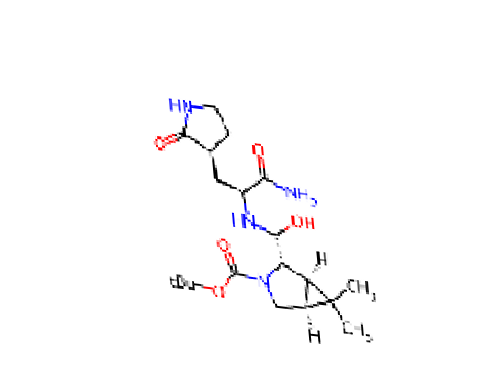 CC(C)(C)OC(=O)N1C[C@H]2[C@@H]([C@H]1C(O)N[C@@H](C[C@@H]1CCNC1=O)C(N)=O)C2(C)C